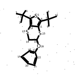 CC(C)(C)c1sc(C(C)(C)C)c2c1SCC(Oc1ccccc1)S2